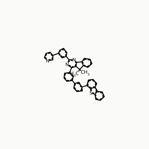 CC1(C)c2ccccc2-c2nc(-c3cccc(-c4cccnc4)c3)nc(-c3cccc(-c4cccc(-c5cccc6c5sc5ccccc56)c4)c3)c21